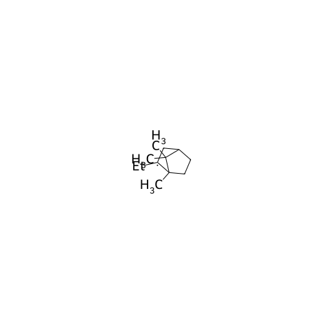 CC[C]1CC2CCC1(C)C2(C)C